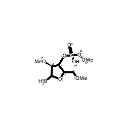 BC1OC(COC)C(OP(=O)(O)OOC)[C@@H]1OC